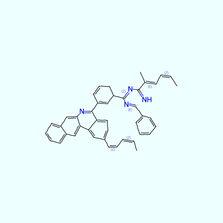 C/C=C\C=C/c1ccc2c(C3=CC(C(=N/C(=N)/C(C)=C/C=C\C)/N=C/c4ccccc4)CC=C3)nc3cc4ccccc4cc3c2c1